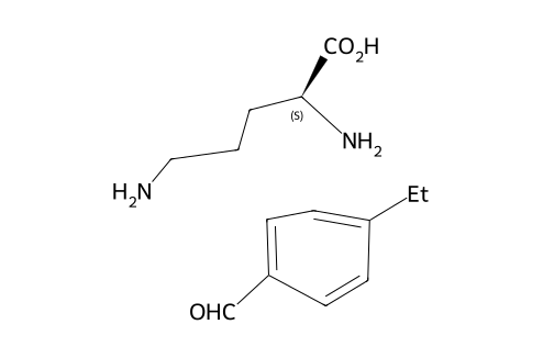 CCc1ccc(C=O)cc1.NCCC[C@H](N)C(=O)O